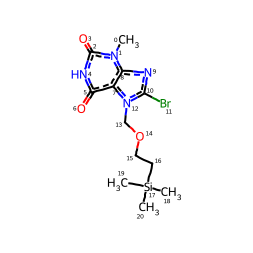 Cn1c(=O)[nH]c(=O)c2c1nc(Br)n2COCC[Si](C)(C)C